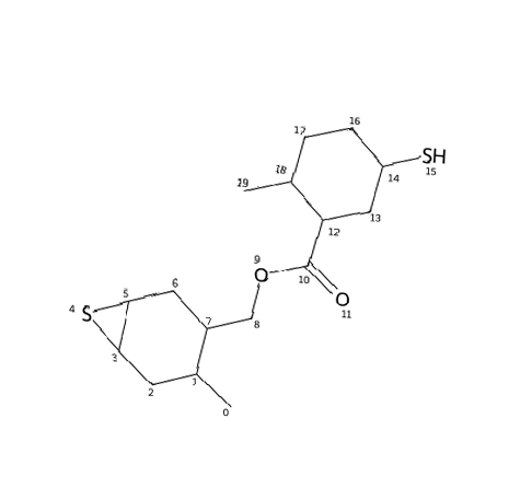 CC1CC2SC2CC1COC(=O)C1CC(S)CCC1C